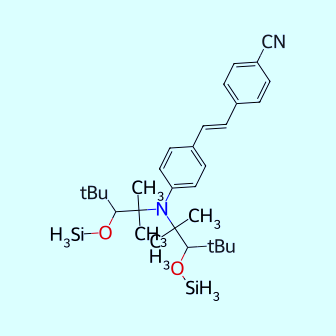 CC(C)(C)C(O[SiH3])C(C)(C)N(c1ccc(C=Cc2ccc(C#N)cc2)cc1)C(C)(C)C(O[SiH3])C(C)(C)C